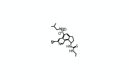 CCNC(=S)NC1CCc2cc(S(=O)(=O)NCC(C)C)c3cc(C4CC4)ncc3c21